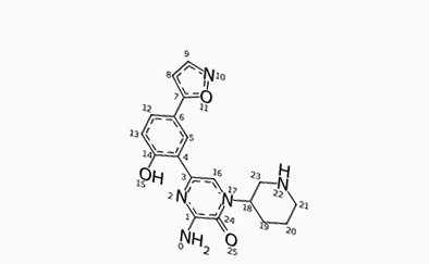 Nc1nc(-c2cc(-c3ccno3)ccc2O)cn(C2CCCNC2)c1=O